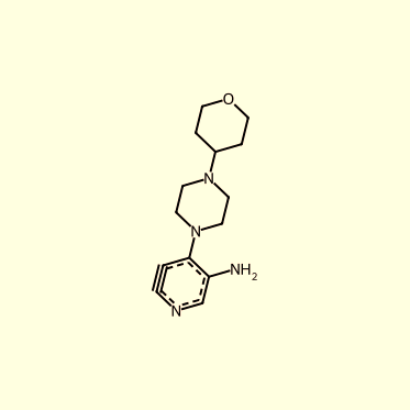 Nc1cnc#cc1N1CCN(C2CCOCC2)CC1